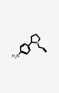 C=CCN1CCCC1c1ccc(N)cc1